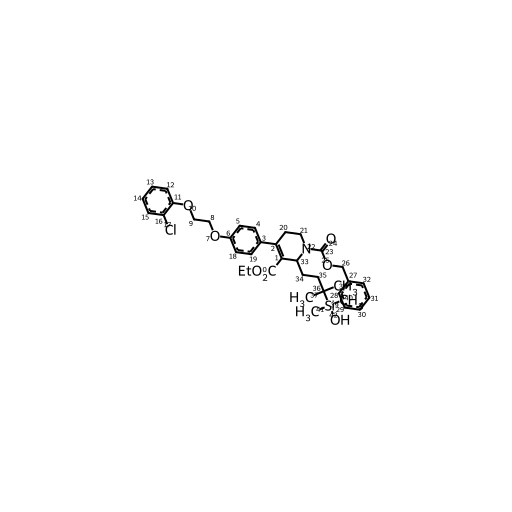 CCOC(=O)C1=C(c2ccc(OCCOc3ccccc3Cl)cc2)CCN(C(=O)OCc2ccccc2)C1CCC(C)(C)[Si](C)(C)O